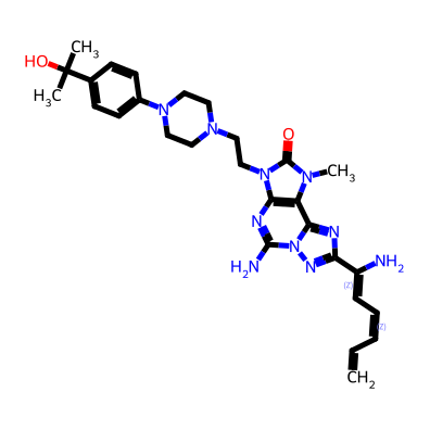 C=C/C=C\C=C(/N)c1nc2c3c(nc(N)n2n1)n(CCN1CCN(c2ccc(C(C)(C)O)cc2)CC1)c(=O)n3C